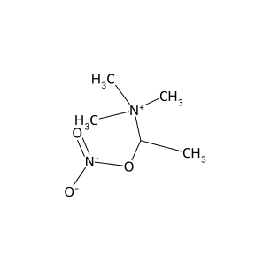 CC(O[N+](=O)[O-])[N+](C)(C)C